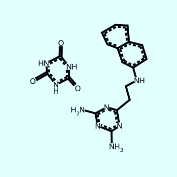 Nc1nc(N)nc(CCNc2ccc3ccccc3c2)n1.O=c1[nH]c(=O)[nH]c(=O)[nH]1